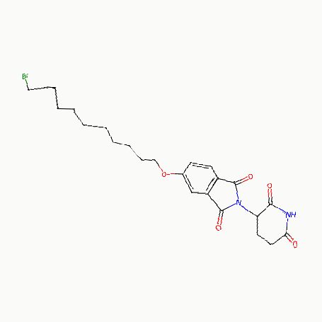 O=C1CCC(N2C(=O)c3ccc(OCCCCCCCCCCBr)cc3C2=O)C(=O)N1